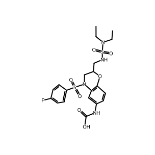 CCN(CC)S(=O)(=O)NCC1CN(S(=O)(=O)c2ccc(F)cc2)c2cc(NC(=O)O)ccc2O1